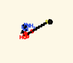 C[C@H](Cn1cnc2c(N)ncnc21)OCP(=O)(O)OCCCOCCCCCCCCCCCSc1ccccc1